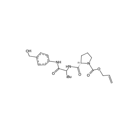 C=CCOC(=O)N1CCC[C@H]1C(=O)NC(C(=O)Nc1ccc(CO)cc1)C(C)CC